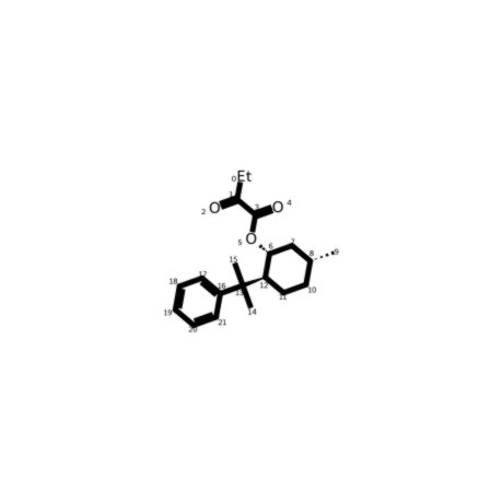 CCC(=O)C(=O)O[C@@H]1C[C@H](C)CC[C@H]1C(C)(C)c1ccccc1